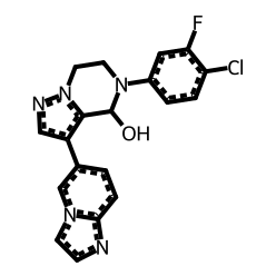 OC1c2c(-c3ccc4nccn4c3)cnn2CCN1c1ccc(Cl)c(F)c1